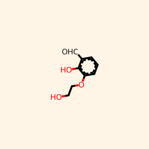 O=Cc1cccc(OCCO)c1O